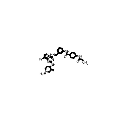 C=CC(=O)NC1CCC(C(=O)Nc2cccc(CNc3nc(NC4CCN(C)CC4F)nc4c(C(C)C)cnn34)c2)CC1